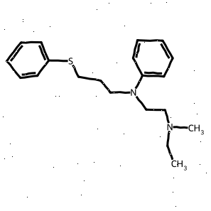 CCN(C)CCN(CCCSc1ccccc1)c1ccccc1